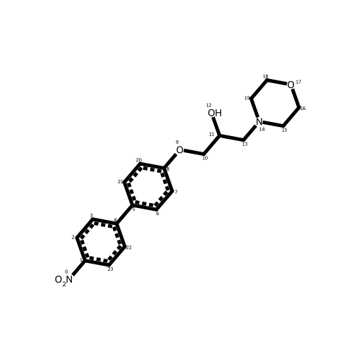 O=[N+]([O-])c1ccc(-c2ccc(OCC(O)CN3CCOCC3)cc2)cc1